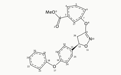 COC(=O)c1cccc(OC2=NO[C@@H](c3ccc(Oc4ccccc4)cc3)C2)c1